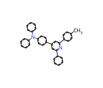 Cc1ccc(-c2cc(-c3ccc(N(c4ccccc4)c4ccccc4)cc3)cc(-c3ccccc3)n2)cc1